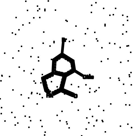 COc1cc(Br)cc2cc[nH]c(=O)c12